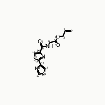 C=CCOC(=O)CNC(=O)c1csc(-c2cscn2)n1